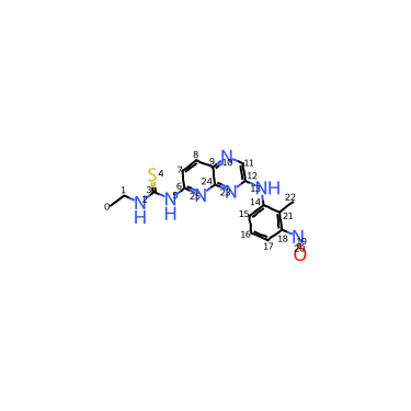 CCNC(=S)Nc1ccc2ncc(Nc3cccc(N=O)c3C)nc2n1